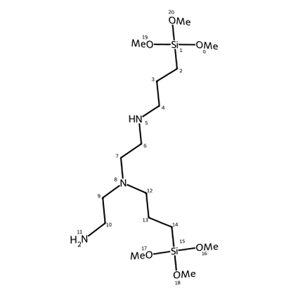 CO[Si](CCCNCCN(CCN)CCC[Si](OC)(OC)OC)(OC)OC